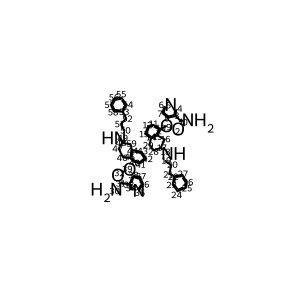 NC(=O)c1cnccc1Oc1cccc2c1CC(NCCCc1ccccc1)CC2.NC(=O)c1cnccc1Oc1cccc2c1CCC(NCCCc1ccccc1)C2